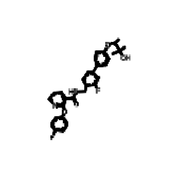 CC(Oc1ccc(-c2ccc(CNC(=O)c3cccnc3Oc3ccc(F)cc3)c(F)c2)cc1)C(C)(C)O